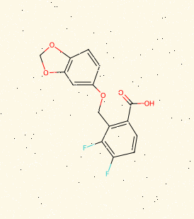 O=C(O)c1ccc(F)c(F)c1COc1ccc2c(c1)OCO2